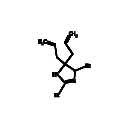 C=CCC1(CC=C)NC(CC)=N[C]1CC